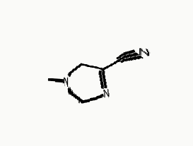 CN1[C]N=C(C#N)C1